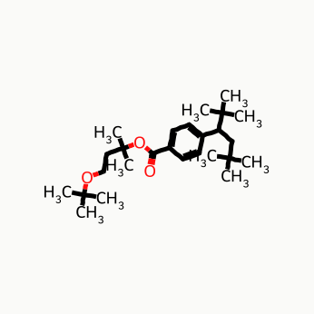 CC(C)(C)CC(c1ccc(C(=O)OC(C)(C)CCOC(C)(C)C)cc1)C(C)(C)C